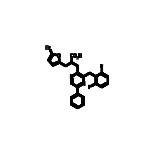 CCc1ccc(CC(Cc2ncc(-c3ccccc3)nc2Cc2c(F)cccc2F)C(=O)O)o1